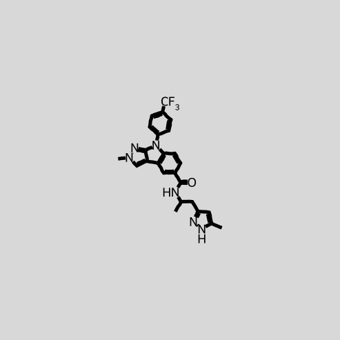 Cc1cc(CC(C)NC(=O)c2ccc3c(c2)c2cn(C)nc2n3-c2ccc(C(F)(F)F)cc2)n[nH]1